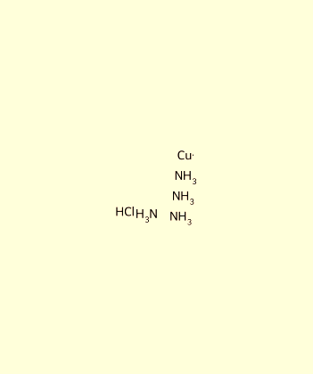 Cl.N.N.N.N.[Cu]